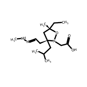 CC[C@@]1(C)C[C@@](C/C=N/NC)(CC(C)C)N(CC(=O)O)O1